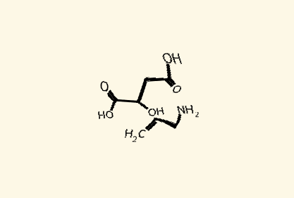 C=CCN.O=C(O)CC(O)C(=O)O